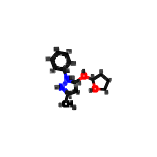 Cc1cc(OC2CCCO2)n(-c2ccccc2)n1